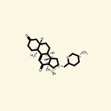 CC(C)[C@H]1[C@@H](CC2CC[C@@H](C)CO2)C[C@H]2[C@@H]3CC[C@H]4CC(=O)CC[C@]4(C)C3=CC(=O)[C@@]21C